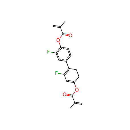 C=C(C)C(=O)OC1=CC(F)=C(c2ccc(OC(=O)C(=C)C)c(F)c2)CC1